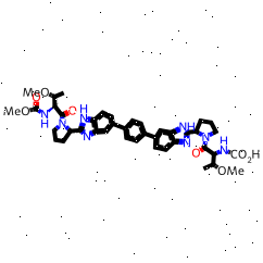 COC(=O)N[C@H](C(=O)N1CCCC1c1nc2cc(-c3ccc(-c4ccc5nc(C6CCCN6C(=O)C(NC(=O)O)C(C)OC)[nH]c5c4)cc3)ccc2[nH]1)C(C)OC